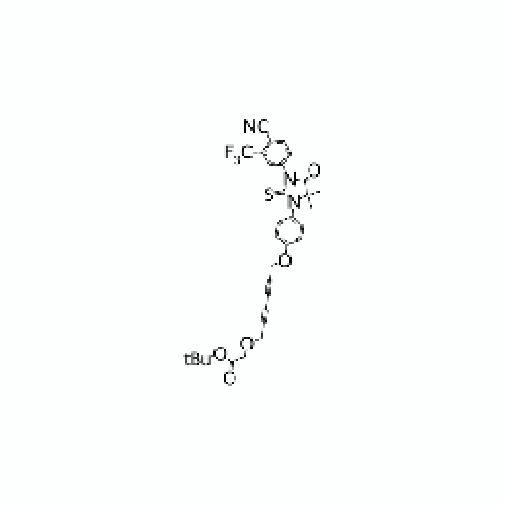 CC(C)(C)OC(=O)COCC#CC#CCOc1ccc(N2C(=S)N(c3ccc(C#N)c(C(F)(F)F)c3)C(=O)C2(C)C)cc1